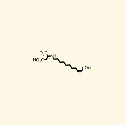 CCCCCCCC/C=C\CCCCCCCCN[C@@H](CC(=O)O)C(=O)O